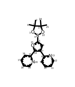 CC1(C)OB(c2cc(-c3ccccn3)c(-c3ccccn3)o2)OC1(C)C